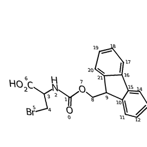 O=C(NC(CBr)C(=O)O)OCC1c2ccccc2-c2ccccc21